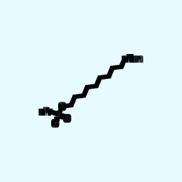 CCCCCCCCCCCCCCCCCCOS(=O)(=O)CCC